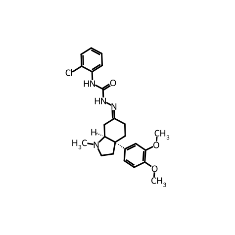 COc1ccc([C@@]23CC/C(=N/NC(=O)Nc4ccccc4Cl)C[C@@H]2N(C)CC3)cc1OC